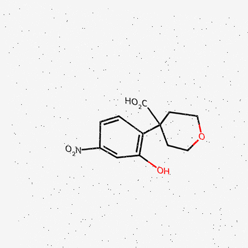 O=C(O)C1(c2ccc([N+](=O)[O-])cc2O)CCOCC1